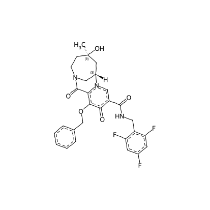 C[C@@]1(O)CCN2C[C@H](C1)n1cc(C(=O)NCc3c(F)cc(F)cc3F)c(=O)c(OCc3ccccc3)c1C2=O